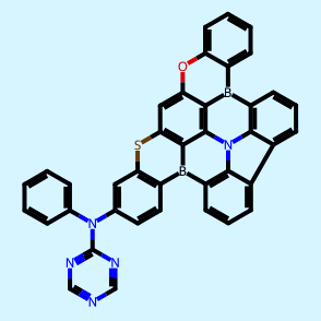 c1ccc(N(c2ccc3c(c2)Sc2cc4c5c6c2B3c2cccc3c7cccc(c7n-6c23)B5c2ccccc2O4)c2ncncn2)cc1